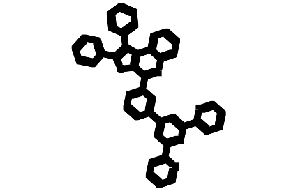 c1ccc(-c2oc3c(-c4cccc(-c5cc(-c6ccccn6)nc(-c6ccccn6)c5)c4)nc4ccccc4c3c2-c2ccccc2)cc1